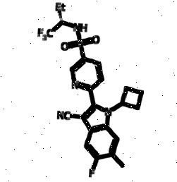 CC[C@H](NS(=O)(=O)c1ccc(-c2c(C#N)c3cc(F)c(C)cc3n2C2CCC2)nc1)C(F)(F)F